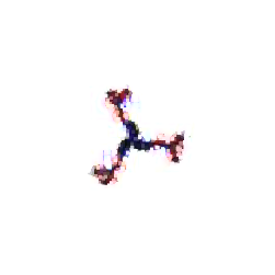 CC(C)(C)OC(=O)N[C@@H](CCC(=O)OCc1ccc2ccc(N(c3ccc4ccc(COC(=O)CC[C@H](NC(=O)OC(C)(C)C)C(=O)OC(C)(C)C)nc4c3)c3ccc4ccc(COC(=O)CC[C@H](NC(=O)OC(C)(C)C)C(=O)OC(C)(C)I)nc4c3)cc2n1)C(=O)OC(C)(C)C